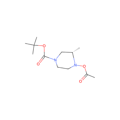 CC(=O)ON1CCN(C(=O)OC(C)(C)C)C[C@@H]1C